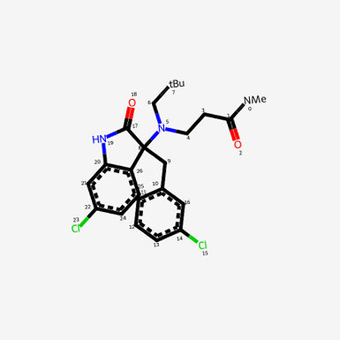 CNC(=O)CCN(CC(C)(C)C)C1(Cc2cccc(Cl)c2)C(=O)Nc2cc(Cl)ccc21